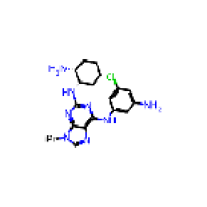 CC(C)n1cnc2c(Nc3cc(N)cc(Cl)c3)nc(N[C@H]3CCCC[C@H]3N)nc21